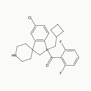 O=C(c1c(F)cccc1F)[N+]1(CC2CCC2)CC2(CCNCC2)c2cc(Cl)ccc21